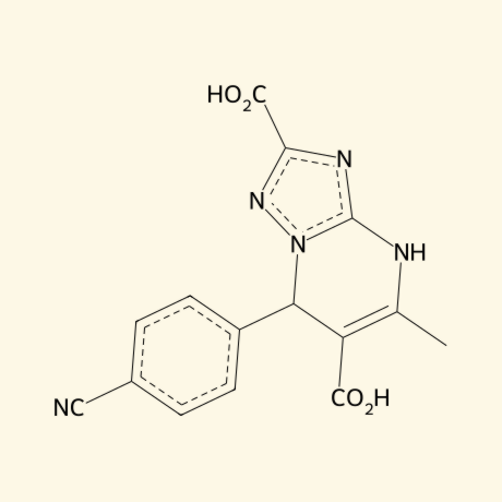 CC1=C(C(=O)O)C(c2ccc(C#N)cc2)n2nc(C(=O)O)nc2N1